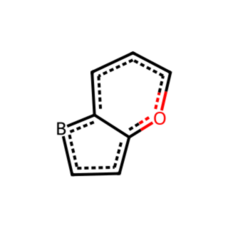 b1ccc2occcc1-2